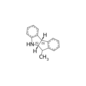 CC1c2ccccc2[C@H]2c3ccccc3N[C@@H]12